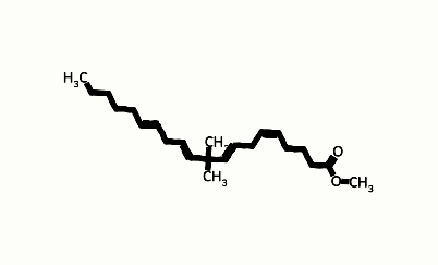 CCCCCC=CCC=CC(C)(C)C=CC/C=C\CCCC(=O)OC